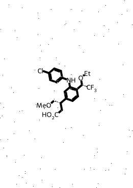 CCO[C@@H](c1ccc([C@@H](COC)CC(=O)O)cc1Nc1ccc(Cl)cc1)C(F)(F)F